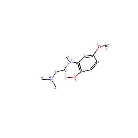 CCOc1ccc(OCC)c(N(C)CCN(C)C)c1